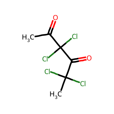 CC(=O)C(Cl)(Cl)C(=O)C(C)(Cl)Cl